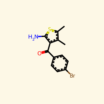 Cc1sc(N)c(C(=O)c2ccc(Br)cc2)c1C